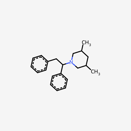 CC1CC(C)CN(C(Cc2ccccc2)c2ccccc2)C1